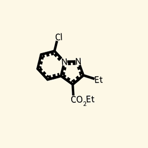 CCOC(=O)c1c(CC)nn2c(Cl)cccc12